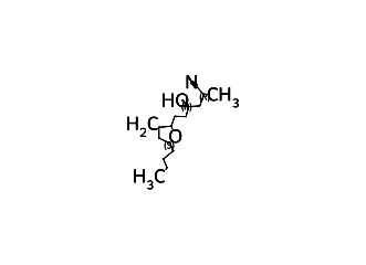 C=C1C[C@H](CCCC)OC1CC[C@@H](O)C[C@@H](C)C#N